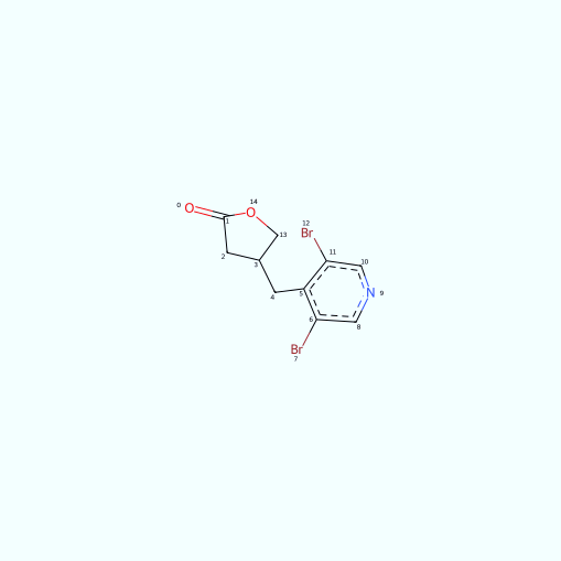 O=C1CC(Cc2c(Br)cncc2Br)CO1